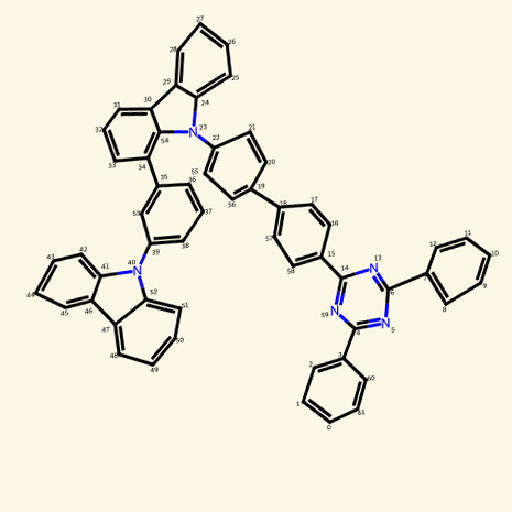 c1ccc(-c2nc(-c3ccccc3)nc(-c3ccc(-c4ccc(-n5c6ccccc6c6cccc(-c7cccc(-n8c9ccccc9c9ccccc98)c7)c65)cc4)cc3)n2)cc1